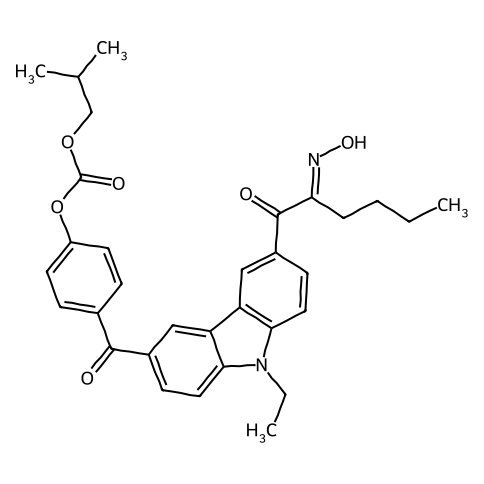 CCCC/C(=N\O)C(=O)c1ccc2c(c1)c1cc(C(=O)c3ccc(OC(=O)OCC(C)C)cc3)ccc1n2CC